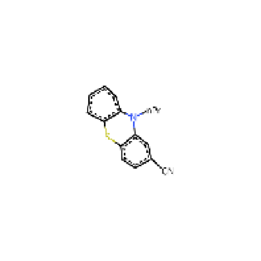 [CH2]CCN1c2ccccc2Sc2ccc(C#N)cc21